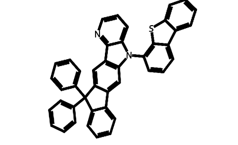 c1ccc(C2(c3ccccc3)c3ccccc3-c3cc4c(cc32)c2ncccc2n4-c2cccc3c2sc2ccccc23)cc1